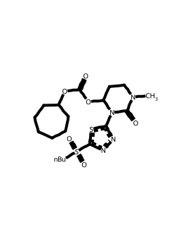 CCCCS(=O)(=O)c1nnc(N2C(=O)N(C)CCC2OC(=O)OC2CCCCCC2)s1